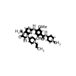 CC=CN1CCC(N2c3nc(Nc4cc(OC)c(C(=O)NC5CCN(C)CC5)cc4OC)ncc3N(C)C(=O)[C@H]2CC)CC1